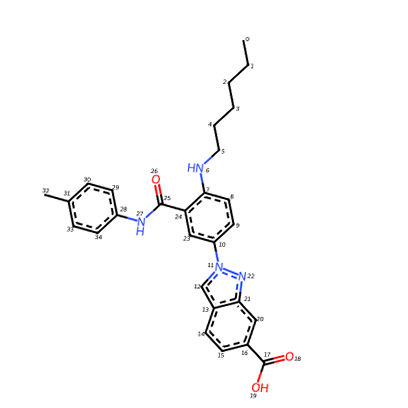 CCCCCCNc1ccc(-n2cc3ccc(C(=O)O)cc3n2)cc1C(=O)Nc1ccc(C)cc1